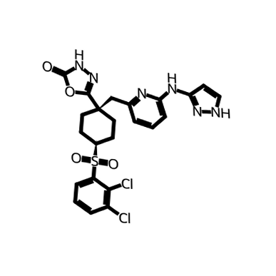 O=c1[nH]nc([C@]2(Cc3cccc(Nc4cc[nH]n4)n3)CC[C@@H](S(=O)(=O)c3cccc(Cl)c3Cl)CC2)o1